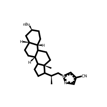 CCCC[C@H]1CC[C@@H]2C3CC[C@@]4(C)C(CCC4[C@H](C)Cn4cc(C#N)cn4)[C@@H]3CC[C@@H]2C1